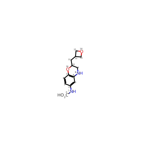 O=C(O)Nc1ccc2c(c1)NCC(CC1COC1)O2